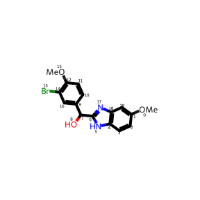 COc1ccc2[nH]c(C(O)c3ccc(OC)c(Br)c3)nc2c1